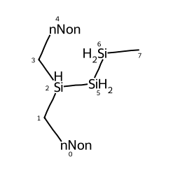 CCCCCCCCCC[SiH](CCCCCCCCCC)[SiH2][SiH2]C